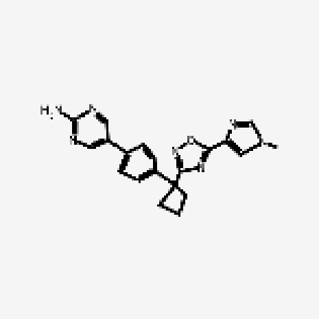 Cn1cnc(-c2nc(C3(c4ccc(-c5cnc(N)nc5)cc4)CCC3)no2)c1